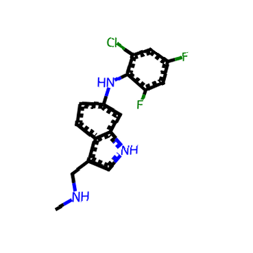 CNCc1c[nH]c2cc(Nc3c(F)cc(F)cc3Cl)ccc12